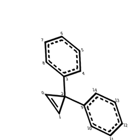 C1=CC1(c1ccccc1)c1ccccc1